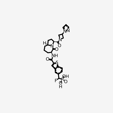 O=C(N[C@H]1CCC[C@H]2CC[C@@H](C(=O)N3CC(n4cccn4)C3)N2C1=O)c1cc2cc(C(F)P(=O)(O)O)ccc2s1